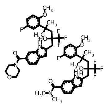 COc1ccc(F)cc1C(C)(C)CC(O)(Cc1cc2ccc(C(=O)N(C)C)cc2[nH]1)C(F)(F)F.COc1ccc(F)cc1C(C)(C)CC(O)(Cc1cc2ccc(C(=O)N3CCOCC3)cc2[nH]1)C(F)(F)F